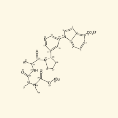 CCOC(=O)c1cccc2c1ccn2-c1cncc(C2CCCN2C(=O)C(NC(=O)C(C)N(C)C(=O)OC(C)(C)C)C(C)C)c1